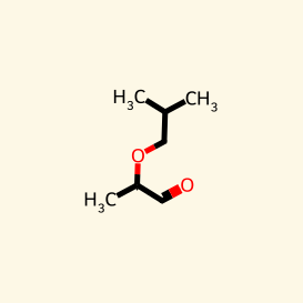 C[C](C=O)OCC(C)C